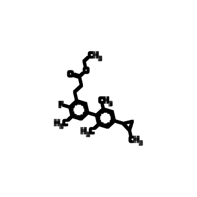 CCOC(=O)CCc1cc(-c2c(C)cc(C3CC3C)cc2C)cc(C)c1F